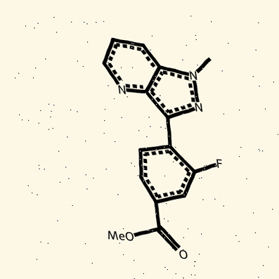 COC(=O)c1ccc(-c2nn(C)c3cccnc23)c(F)c1